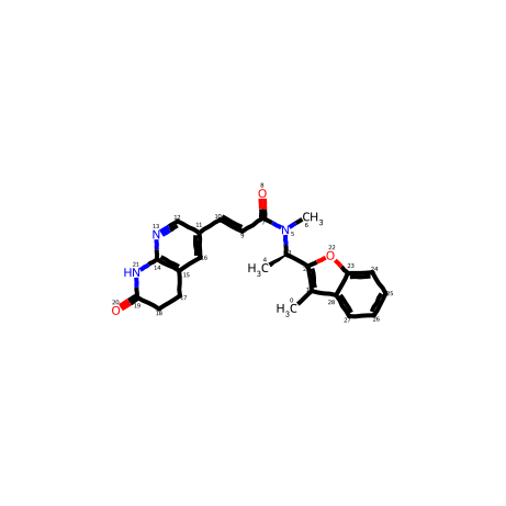 Cc1c([C@@H](C)N(C)C(=O)C=Cc2cnc3c(c2)CCC(=O)N3)oc2ccccc12